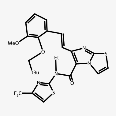 CCN(C(=O)c1c(C=Cc2cccc(OC)c2OCC(C)(C)C)nc2sccn12)c1nc(C(F)(F)F)cs1